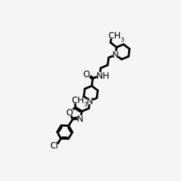 CCC1CCCCN1CCCNC(=O)C1CCN(Cc2nc(-c3ccc(Cl)cc3)oc2C)CC1